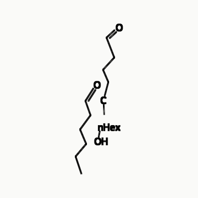 CCCCCC=O.CCCCCC=O.CCCCCCO